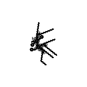 C=CCO[C@@H]1[C@H](NC(=O)C[C@@H](CCCCCCCCCCC)OC(=O)CCCCCCCCCCCCC)[C@@H](OCc2ccccc2)O[C@H](CO[C@@H]2O[C@H](COCc3ccccc3)[C@@H](O)[C@H](OC(=O)C[C@@H](CCCCCCCCCCC)OC(=O)CCCCCCCCCCCCC)[C@@H]2NC(=O)C[C@@H](CCCCCCCCCCC)OC(=O)CCCCCCCCCCCCC)[C@H]1OCc1ccccc1